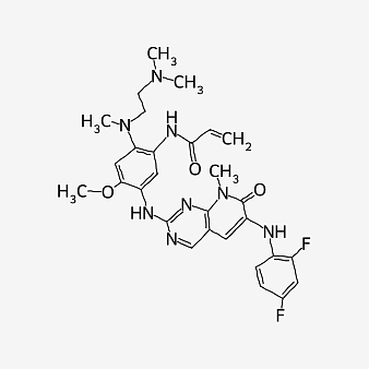 C=CC(=O)Nc1cc(Nc2ncc3cc(Nc4ccc(F)cc4F)c(=O)n(C)c3n2)c(OC)cc1N(C)CCN(C)C